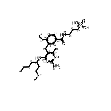 CCCCC(CCSC)Nc1nc(N)nc(C)c1Cc1cc(C(=O)NCCCP(=O)(O)O)ccc1OC